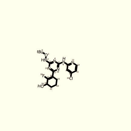 CC(C)(C)ONc1nc(Nc2cc(Cl)ccn2)nc(C2=C(F)C(O)CCC2)n1